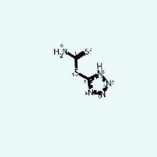 NC(=S)Sc1nnn[nH]1